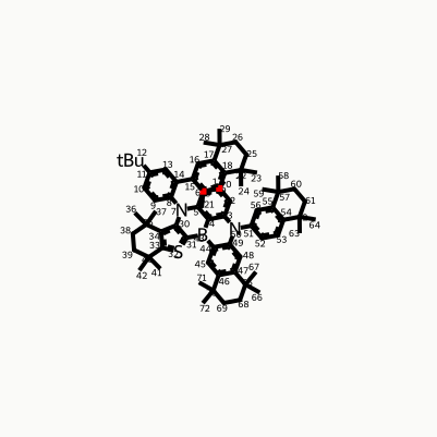 Cc1cc2c3c(c1)N(c1ccc(C(C)(C)C)cc1-c1cc4c(cc1C)C(C)(C)CCC4(C)C)c1c(sc4c1C(C)(C)CCC4(C)C)B3c1cc3c(cc1N2c1ccc2c(c1)C(C)(C)CCC2(C)C)C(C)(C)CCC3(C)C